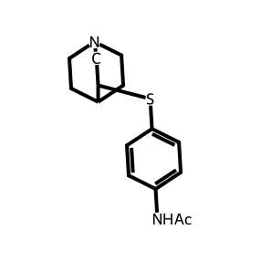 CC(=O)Nc1ccc(SC2CN3CCC2CC3)cc1